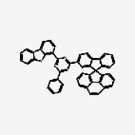 c1ccc(-c2nc(-c3ccc4c(c3)C3(c5ccccc5-4)c4cccc5ccc6cccc3c6c45)nc(-c3cccc4c3sc3ccccc34)n2)cc1